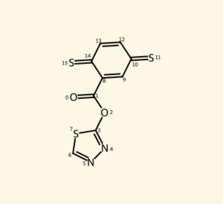 O=C(Oc1nncs1)C1=CC(=S)C=CC1=S